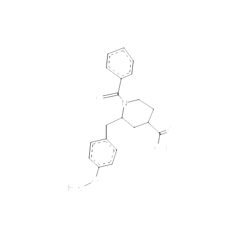 COc1ccc(CC2CC(C(=O)O)CCN2C(=O)c2ccccc2)cc1